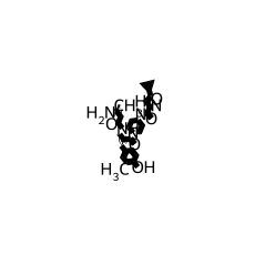 Cc1cc(C[C@H](CNC(=O)C[C@H](C)N)C(=O)N2CCC(NC(=O)c3cc(C4CC4)on3)CC2)ccc1O